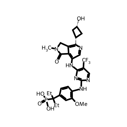 CCC(CC)(c1ccc(Nc2ncc(C(F)(F)F)c(Nc3cnc([C@H]4C[C@@H](O)C4)c4c3C(=O)N(C)C4)n2)c(OC)c1)P(=O)(O)O